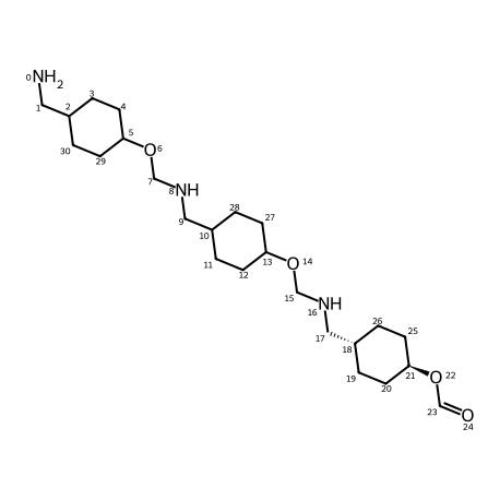 NCC1CCC(OCNCC2CCC(OCNC[C@H]3CC[C@H](OC=O)CC3)CC2)CC1